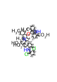 Cc1ccc(C(=O)c2ccc(CC(=O)O)n2C)cc1.Cc1cccc(Nc2ccccc2C(=O)O)c1C.O=C(O)Cc1ccccc1Nc1c(Cl)cccc1Cl